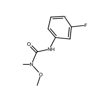 CON(C)C(=O)Nc1cc[c]c(F)c1